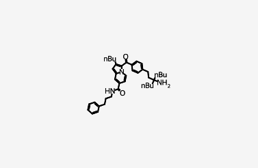 CCCCc1cc2cc(C(=O)NCCCc3ccccc3)ccn2c1C(=O)c1ccc(CCC(N)(CCCC)CCCC)cc1